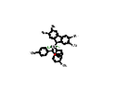 CCCCc1ccc([C](c2ccc(CCCC)cc2)=[Hf]([Cl])([Cl])([CH]2C=CC=C2)[CH]2c3cc(C(C)(C)C)c(C(C)(C)C)cc3-c3cc(C(C)(C)C)c(C(C)(C)C)cc32)cc1